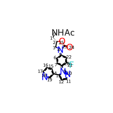 CC(=O)NC[C@H]1CN(c2ccc(-n3nccc3-c3cccnc3)c(F)c2)C(=O)O1